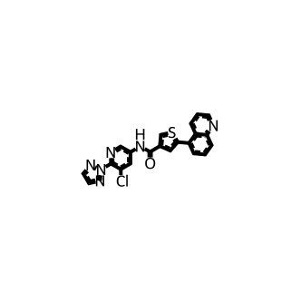 O=C(Nc1cnc(-n2nccn2)c(Cl)c1)c1csc(-c2cccc3ncccc23)c1